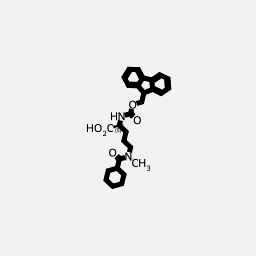 CN(CCC[C@H](NC(=O)OCC1c2ccccc2-c2ccccc21)C(=O)O)C(=O)C1CCCCC1